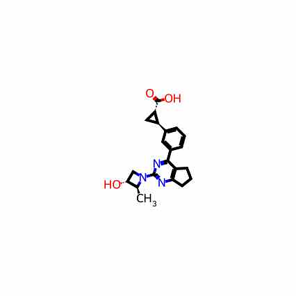 C[C@H]1[C@H](O)CN1c1nc2c(c(-c3cccc([C@H]4C[C@@H]4C(=O)O)c3)n1)CCC2